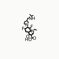 CCn1cc(C(=O)O)c(=O)c2cc(F)c(N3CCC(CNC(C)C)C3)c(F)c21